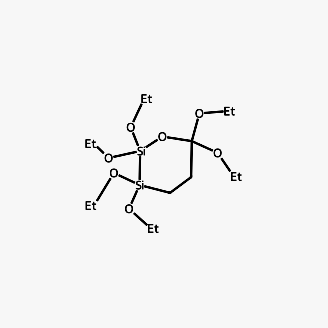 CCOC1(OCC)CC[Si](OCC)(OCC)[Si](OCC)(OCC)O1